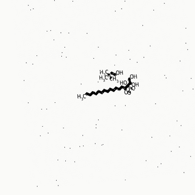 CCCCCCCCCCCCCCC(=O)C(O)(C(O)CO)P(=O)=O.C[N+](C)(C)CCO